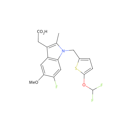 COc1cc2c(CC(=O)O)c(C)n(Cc3ccc(OC(F)F)s3)c2cc1F